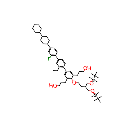 CCc1cc(-c2ccc(C3CCC(C4CCCCC4)CC3)cc2F)ccc1-c1cc(CCCO)c(OCCC(CO[Si](C)(C)C(C)(C)C)CO[Si](C)(C)C(C)(C)C)c(CCCO)c1